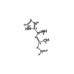 C=C(C)C/C(O)=C/C(=N)c1ncc[nH]1